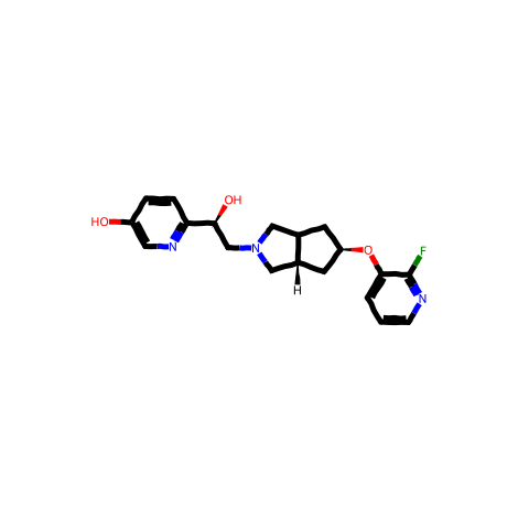 Oc1ccc([C@@H](O)CN2CC3C[C@@H](Oc4cccnc4F)C[C@@H]3C2)nc1